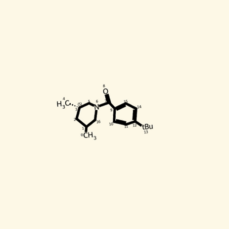 CC1C[C@H](C)CN(C(=O)c2ccc(C(C)(C)C)cc2)C1